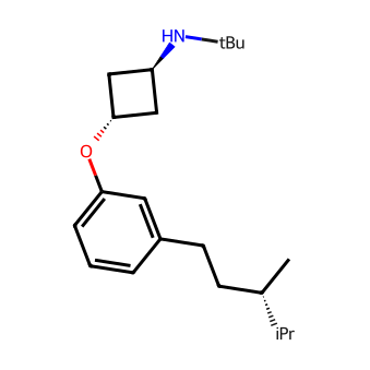 CC(C)[C@@H](C)CCc1cccc(O[C@H]2C[C@H](NC(C)(C)C)C2)c1